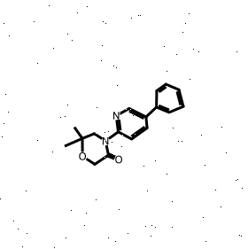 CC1(C)CN(c2ccc(-c3ccccc3)cn2)C(=O)CO1